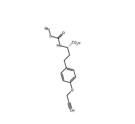 C#CCOc1ccc(CC[C@H](NC(=O)OC(C)(C)C)C(=O)O)cc1